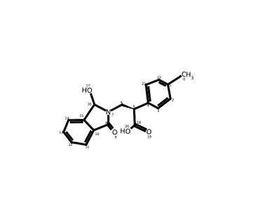 Cc1ccc([C@H](CN2C(=O)c3ccccc3C2O)C(=O)O)cc1